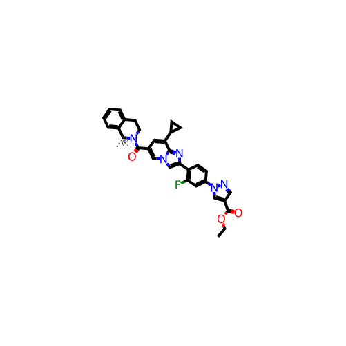 CCOC(=O)c1cnn(-c2ccc(-c3cn4cc(C(=O)N5CCc6ccccc6[C@H]5C)cc(C5CC5)c4n3)c(F)c2)c1